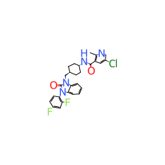 Cc1ncc(Cl)cc1C(=O)N[C@H]1CC[C@H](Cn2c(=O)n(-c3ccc(F)cc3F)c3ccccc32)CC1